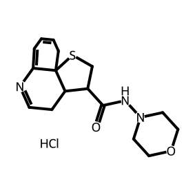 Cl.O=C(NN1CCOCC1)C1CSC23CC=CC=C2N=CCC13